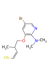 CC(/C=C\S)COc1cc(Br)cnc1N(C)C